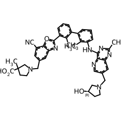 Cc1nc(Nc2cccc(-c3cccc(-c4nc5cc(CN6CCC(C)(C(=O)O)C6)cc(C#N)c5o4)c3C)c2C)c2ncc(CN3CC[C@@H](O)C3)cc2n1